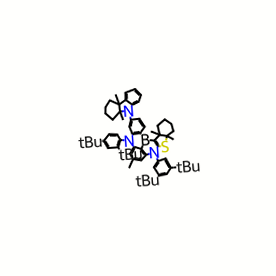 Cc1cc2c3c(c1)N(c1ccc(C(C)(C)C)cc1C(C)(C)C)c1cc(N4c5ccccc5C5(C)CCCCC45C)ccc1B3C1=C(SC3(C)CCCCC13C)N2c1cc(C(C)(C)C)cc(C(C)(C)C)c1